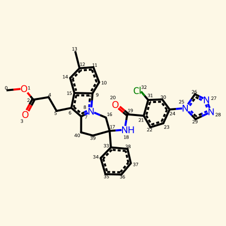 COC(=O)CCc1c2n(c3ccc(C)cc13)CC(NC(=O)c1ccc(-n3cnnc3)cc1Cl)(c1ccccc1)CC2